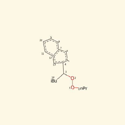 CCCOOC(c1ccc2ccccc2c1)C(C)CC